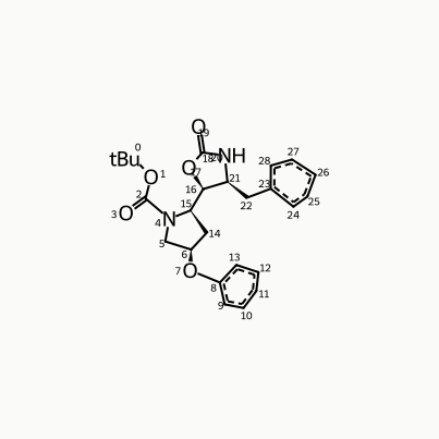 CC(C)(C)OC(=O)N1C[C@H](Oc2ccccc2)C[C@@H]1[C@H]1OC(=O)N[C@H]1Cc1ccccc1